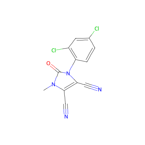 Cn1c(C#N)c(C#N)n(-c2ccc(Cl)cc2Cl)c1=O